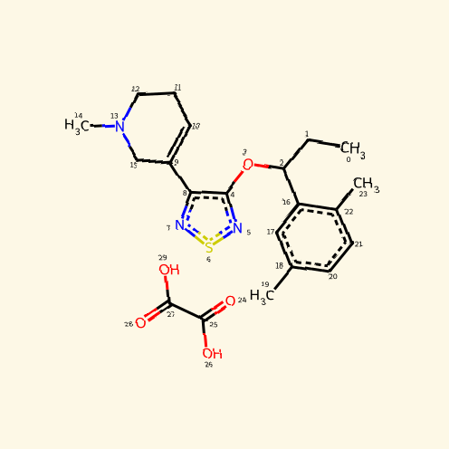 CCC(Oc1nsnc1C1=CCCN(C)C1)c1cc(C)ccc1C.O=C(O)C(=O)O